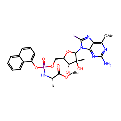 CCCCOC(=O)[C@H](C)NP(=O)(OC[C@H]1OC(n2c(I)nc3c(OC)nc(N)nc32)[C@](C)(O)[C@@H]1O)Oc1cccc2ccccc12